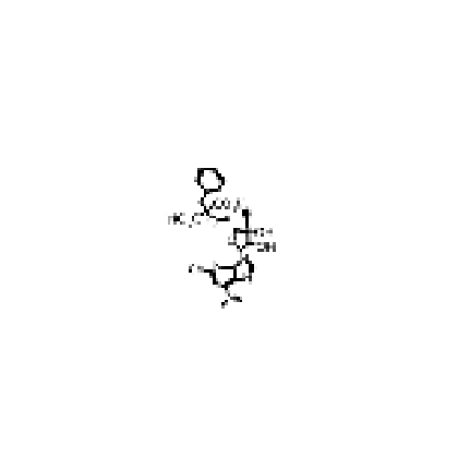 C#C[C@@]1(O)[C@@H](COC(Cc2ccccc2)(C(=O)O)C(=O)O)O[C@@H](n2cnc3c(N(C)C)cc(Cl)nc32)[C@@H]1O